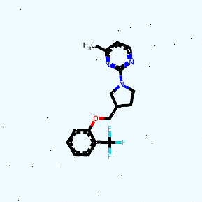 Cc1ccnc(N2CCC(COc3ccccc3C(F)(F)F)C2)n1